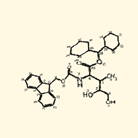 CC(C(O)CO)C(NC(=O)OCC1c2ccccc2-c2ccccc21)C(=O)OC(C1CCCCC1)C1CCCCC1